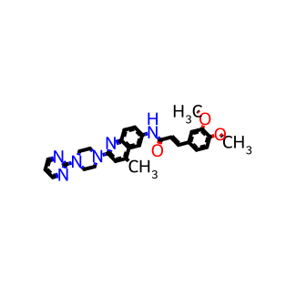 COc1ccc(C=CC(=O)Nc2ccc3nc(N4CCN(c5ncccn5)CC4)cc(C)c3c2)cc1OC